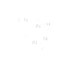 NC(=O)CC1(NO)C(=O)NC(=O)NC1=O